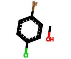 CO.Clc1ccc(Br)cc1